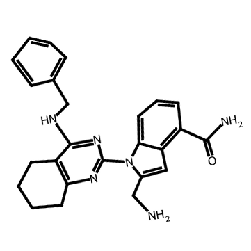 NCc1cc2c(C(N)=O)cccc2n1-c1nc2c(c(NCc3ccccc3)n1)CCCC2